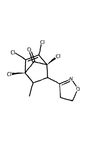 CC1C(C2=NOCC2)[C@]2(Cl)C(=O)[C@@]1(Cl)C(Cl)=C2Cl